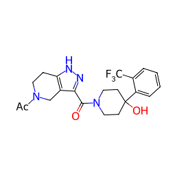 CC(=O)N1CCc2[nH]nc(C(=O)N3CCC(O)(c4ccccc4C(F)(F)F)CC3)c2C1